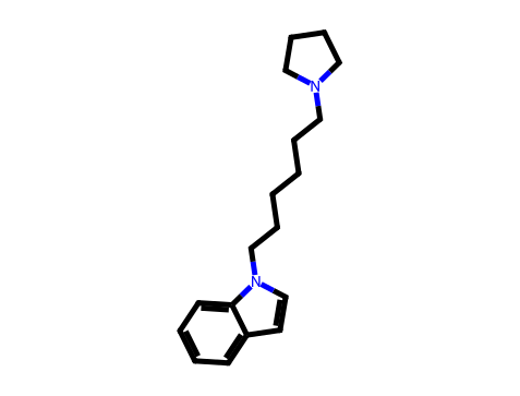 c1ccc2c(c1)ccn2CCCCCCN1CCCC1